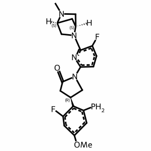 COc1cc(F)c([C@H]2CC(=O)N(c3ccc(F)c(N4C[C@@H]5C[C@H]4CN5C)n3)C2)c(P)c1